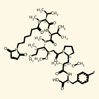 CC[C@H](C)[C@@H]([C@@H](CC(=O)N1CCC[C@H]1[C@H](OC)[C@@H](C)C(=O)N[C@@H](Cc1ccc(F)cc1)C(=O)O)OC)N(C)C(=O)[C@@H](NC(=O)[C@H](C(C)C)N(C)C(=O)CCCCCN1C(=O)C=CC1=O)C(C)C